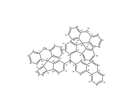 c1ccc2c(c1)Oc1ccccc1C21c2ccccc2-c2ccc(N(c3ccc4c(ccc5ccccc54)c3)c3cccc4c3-c3ccccc3C43c4ccccc4Oc4ccccc43)cc21